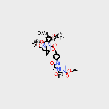 C=CCOC(=O)N[C@@H](C(=O)N[C@@H](C)C(=O)Nc1ccc(COC(=O)Nc2cc(O[Si](C(C)C)(C(C)C)C(C)C)c(OC)cc2C(=O)N2CC3(CC3)C[C@H]2CO[Si](C)(C)C(C)(C)C)cc1)C(C)C